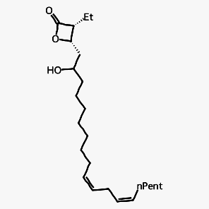 CCCCC/C=C\C/C=C\CCCCCCCC(O)C[C@@H]1OC(=O)[C@@H]1CC